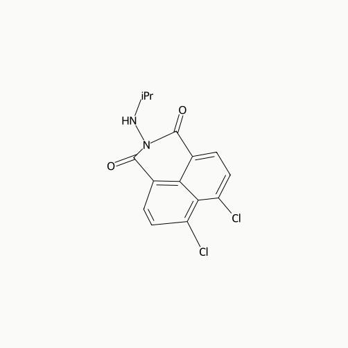 CC(C)NN1C(=O)c2ccc(Cl)c3c(Cl)ccc(c23)C1=O